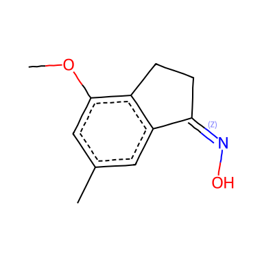 COc1cc(C)cc2c1CC/C2=N/O